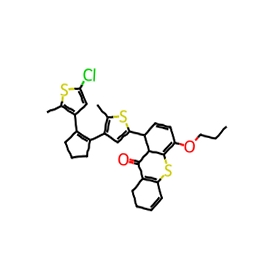 CCCOC1=C2SC3=C(CCC=C3)C(=O)C2C(c2cc(C3=C(c4cc(Cl)sc4C)CCC3)c(C)s2)C=C1